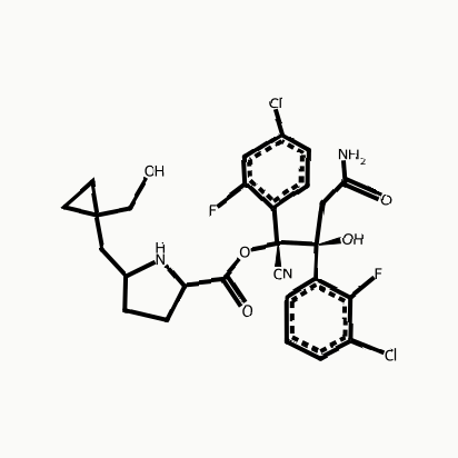 N#C[C@@](OC(=O)C1CCC(CC2(CO)CC2)N1)(c1ccc(Cl)cc1F)[C@](O)(CC(N)=O)c1cccc(Cl)c1F